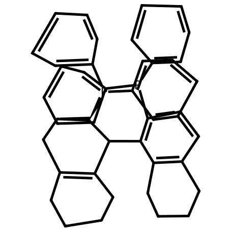 c1ccc(P(c2ccccc2)c2ccc3c(c2C2C4=C(CCCC4)CC[C@H]2P(c2ccccc2)c2ccccc2)CCCC3)cc1